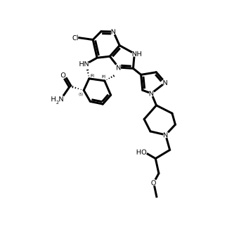 COCC(O)CN1CCC(n2cc(-c3nc4c(N[C@@H]5[C@H](C)C=C=C[C@@H]5C(N)=O)c(Cl)cnc4[nH]3)cn2)CC1